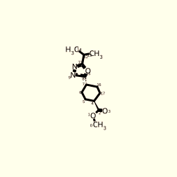 COC(=O)[C@H]1CC[C@H](c2nnc(C(C)C)o2)CC1